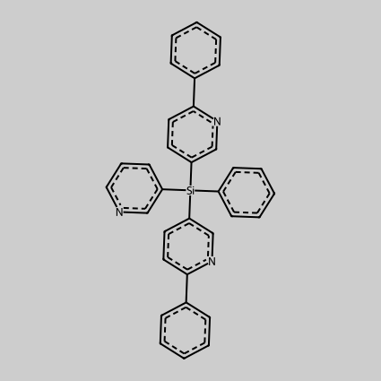 c1ccc(-c2ccc([Si](c3ccccc3)(c3cccnc3)c3ccc(-c4ccccc4)nc3)cn2)cc1